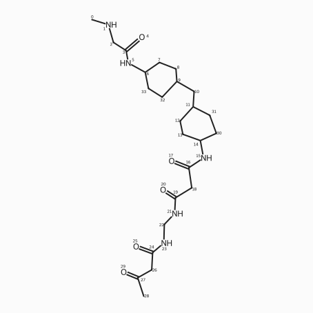 CNCC(=O)NC1CCC(CC2CCC(NC(=O)CC(=O)NCNC(=O)CC(C)=O)CC2)CC1